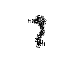 O=C1CC[C@H](N2Cc3cc(N4CCN(CC5CCN(c6ccc([C@@H]7c8ccc(O)cc8C(F)(F)C[C@@H]7c7cc(F)ccc7F)cc6)CC5)CC4)ccc3C2=O)C(=O)N1